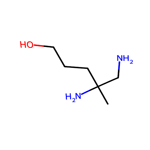 CC(N)(CN)CCCO